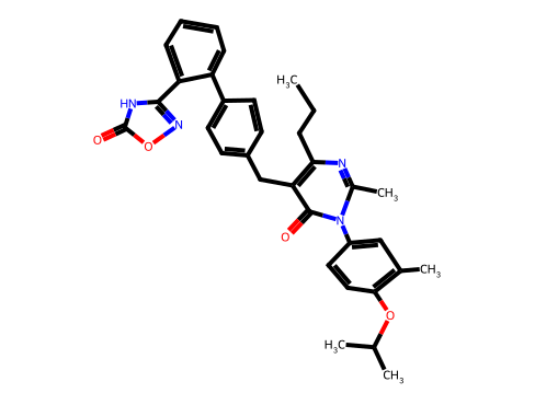 CCCc1nc(C)n(-c2ccc(OC(C)C)c(C)c2)c(=O)c1Cc1ccc(-c2ccccc2-c2noc(=O)[nH]2)cc1